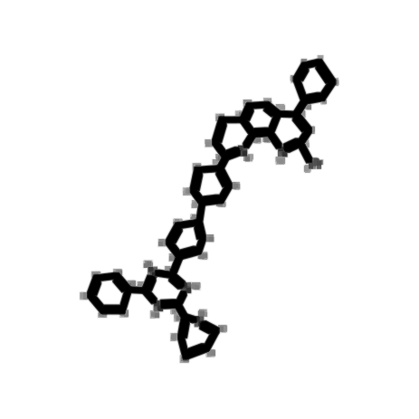 CC(C)c1cc(-c2ccccc2)c2ccc3ccc(-c4ccc(-c5ccc(-c6nc(-c7ccccc7)nc(-c7ccccn7)n6)cc5)cc4)nc3c2n1